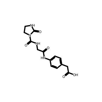 O=C(O)Cc1ccc(NC(=O)CNC(=O)N2CCNC2=O)cc1